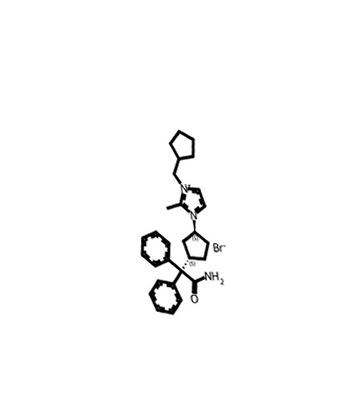 Cc1n([C@H]2CC[C@H](C(C(N)=O)(c3ccccc3)c3ccccc3)C2)cc[n+]1CC1CCCC1.[Br-]